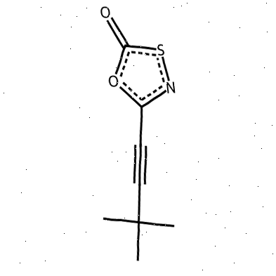 CC(C)(C)C#Cc1nsc(=O)o1